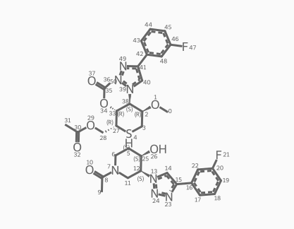 CO[C@H]1C[SH]([C@H]2CN(C(C)=O)C[C@H](n3cc(-c4cccc(F)c4)nn3)[C@@H]2O)[C@H](COC(C)=O)[C@H](OC(C)=O)[C@H]1n1cc(-c2cccc(F)c2)nn1